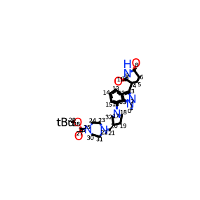 Cn1nc(C2CCC(=O)NC2=O)c2cccc(N3CC[C@@H](CN4CCN(C(=O)OC(C)(C)C)CC4)C3)c21